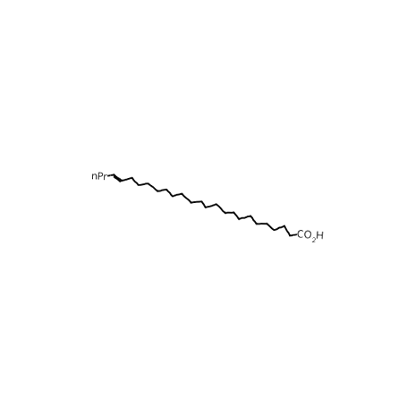 CCCC=CCCCCCCCCCCCCCCCCCCCCC(=O)O